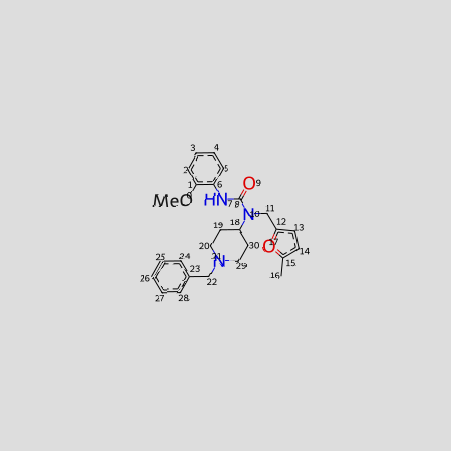 COc1ccccc1NC(=O)N(Cc1ccc(C)o1)C1CCN(Cc2cc#ccc2)CC1